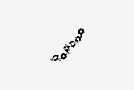 c1ccc(Cc2cnc(N3CCN(c4ncnc(Nc5ccc(O[C@@H]6CCCNC6)cc5)n4)CC3)nc2)cc1